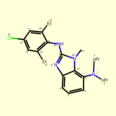 CCCN(CCC)c1cccc2nc(Nc3c(CC)cc(Cl)cc3CC)n(C)c12